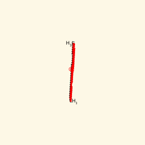 CCCCCCCCCCCCCCCCCCCCCCCCCCCCOC(=O)CCCCCCCCCCCCCCCCCCCCCCCC